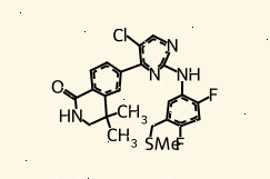 CSCc1cc(Nc2ncc(Cl)c(-c3ccc4c(c3)C(C)(C)CNC4=O)n2)c(F)cc1F